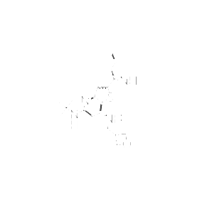 C=C/C=C(\N)c1cc2nc(NC(C)(C)C)cc(NCC3COC3)c2s1